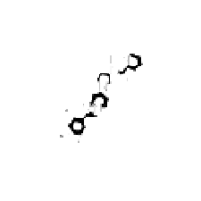 COc1cc(OC)c(-c2cn3ccc(N4CCC(NC(=O)c5ccccn5)C4)cc3n2)cc1Cl